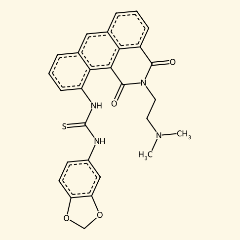 CN(C)CCN1C(=O)c2cccc3cc4cccc(NC(=S)Nc5ccc6c(c5)OCO6)c4c(c23)C1=O